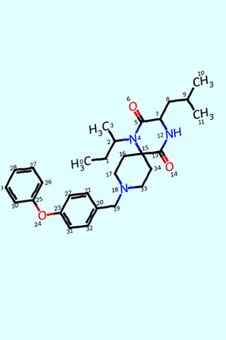 CCC(C)N1C(=O)C(CC(C)C)NC(=O)C12CCN(Cc1ccc(Oc3ccccc3)cc1)CC2